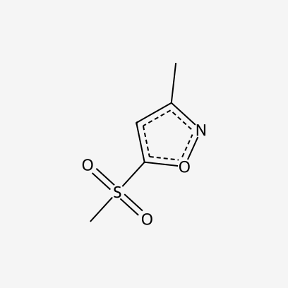 Cc1cc(S(C)(=O)=O)on1